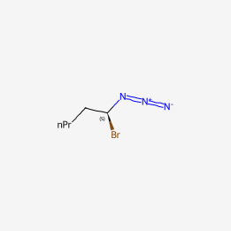 CCCC[C@H](Br)N=[N+]=[N-]